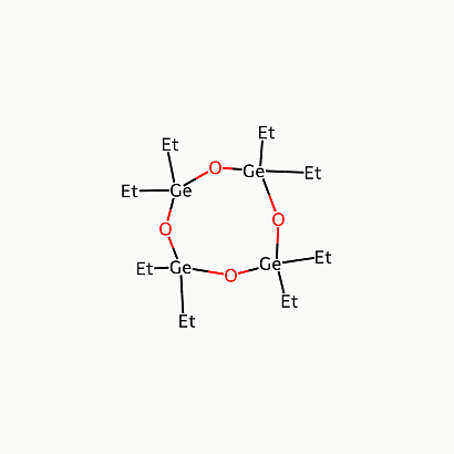 C[CH2][Ge]1([CH2]C)[O][Ge]([CH2]C)([CH2]C)[O][Ge]([CH2]C)([CH2]C)[O][Ge]([CH2]C)([CH2]C)[O]1